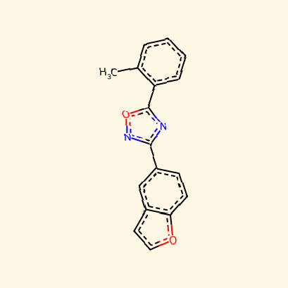 Cc1ccccc1-c1nc(-c2ccc3occc3c2)no1